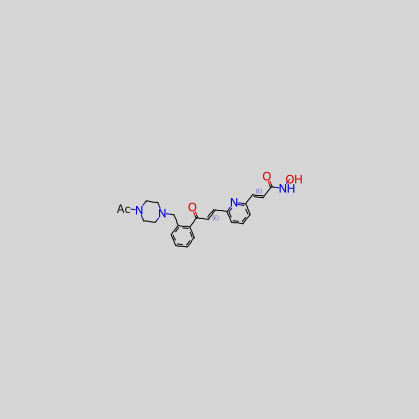 CC(=O)N1CCN(Cc2ccccc2C(=O)/C=C/c2cccc(/C=C/C(=O)NO)n2)CC1